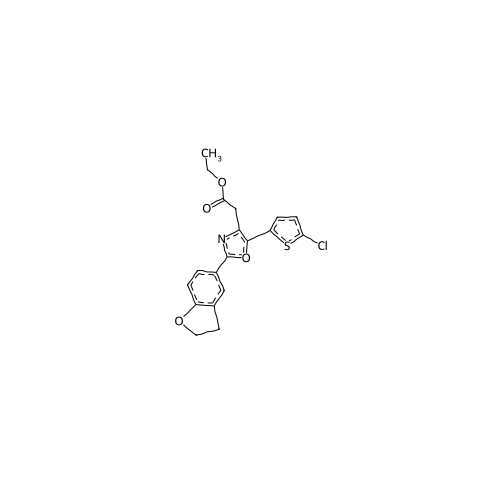 CCOC(=O)Cc1nc(-c2ccc3c(c2)CCO3)oc1-c1ccc(Cl)s1